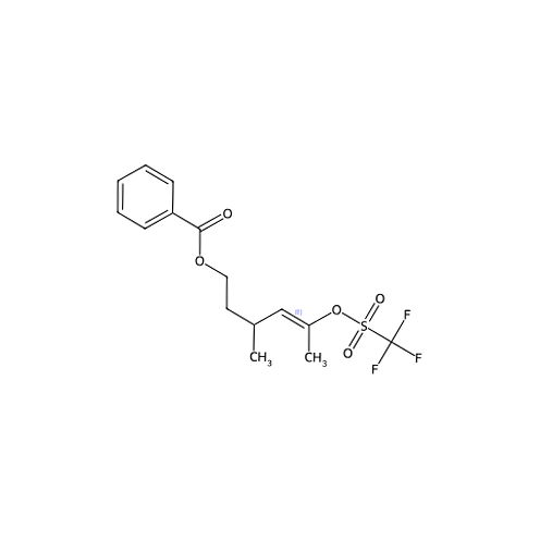 C/C(=C\C(C)CCOC(=O)c1ccccc1)OS(=O)(=O)C(F)(F)F